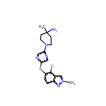 Cn1cc2c(Cl)c(Sc3cnc(N4CCC(C)(N)CC4)cn3)ccc2n1